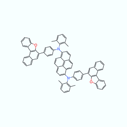 Cc1cccc(C)c1N(c1ccc(-c2cc3ccccc3c3c2oc2ccccc23)cc1)c1ccc2ccc3c(N(c4ccc(-c5cc6ccccc6c6c5oc5ccccc56)cc4)c4c(C)cccc4C)ccc4ccc1c2c43